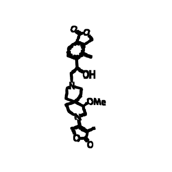 CO[C@H]1CN(C2=C(C)C(=O)OC2)CCC12CCN(CC(O)c1ccc3c(c1C)COC3=O)CC2